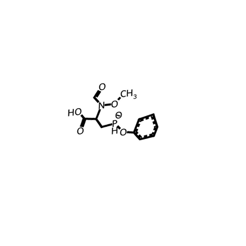 CON(C=O)C(C[PH](=O)Oc1ccccc1)C(=O)O